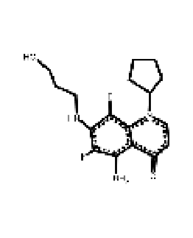 Nc1c(F)c(NCCCO)c(F)c2c1c(=O)ccn2C1CCCC1